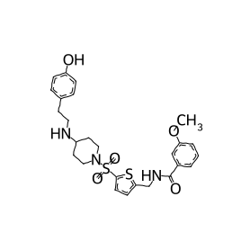 COc1cccc(C(=O)NCc2ccc(S(=O)(=O)N3CCC(NCCc4ccc(O)cc4)CC3)s2)c1